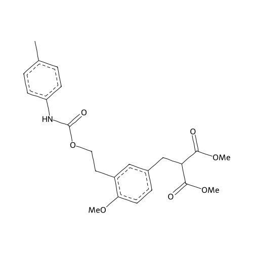 COC(=O)C(Cc1ccc(OC)c(CCOC(=O)Nc2ccc(C)cc2)c1)C(=O)OC